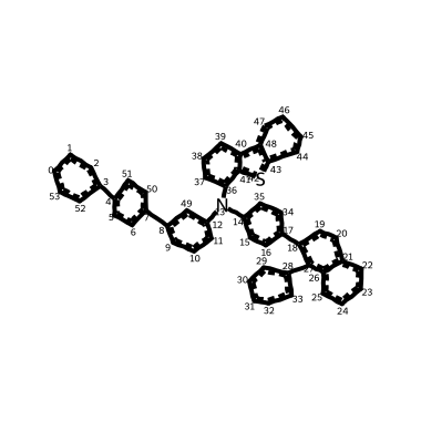 c1ccc(-c2ccc(-c3cccc(N(c4ccc(-c5ccc6ccccc6c5-c5ccccc5)cc4)c4cccc5c4sc4ccccc45)c3)cc2)cc1